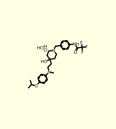 CC(C)Oc1ccc(N(C)CCC2(O)CCN(Cc3ccc(NC(=O)C(F)(F)F)cc3)CC2)cc1.Cl.Cl